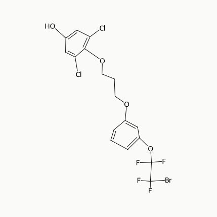 Oc1cc(Cl)c(OCCCOc2cccc(OC(F)(F)C(F)(F)Br)c2)c(Cl)c1